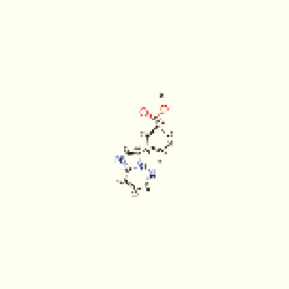 COC(=O)c1ccc(C)c(-c2cnc3cccnn23)c1